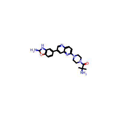 CC(C)(N)C(=O)N1CCN(c2ccc3ncc(-c4ccc5c(c4)NC(N)O5)cc3n2)CC1